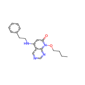 CCCCOn1c(=O)cc(NCCc2ccccc2)c2cncnc21